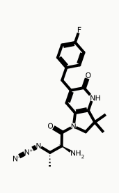 C[C@H](N=[N+]=[N-])[C@H](N)C(=O)N1CC(C)(C)c2[nH]c(=O)c(Cc3ccc(F)cc3)cc21